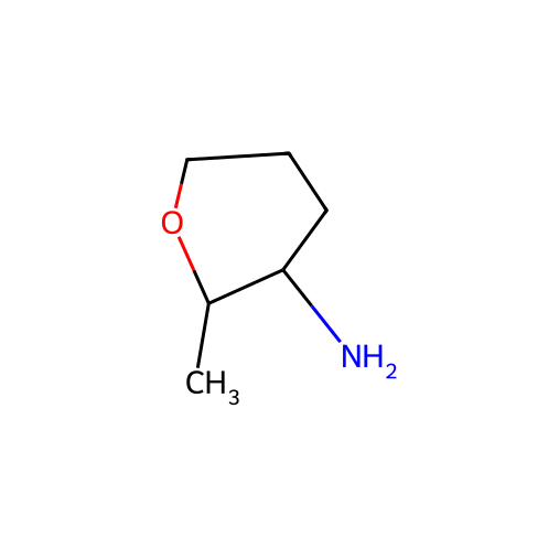 CC1OCCCC1N